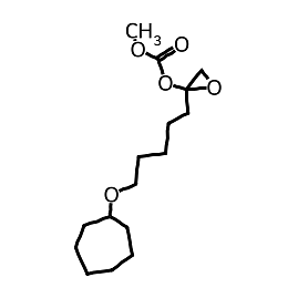 COC(=O)OC1(CCCCCOC2CCCCCC2)CO1